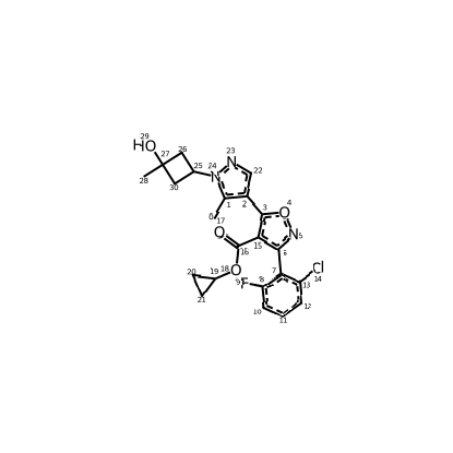 Cc1c(-c2onc(-c3c(F)cccc3Cl)c2C(=O)OC2CC2)cnn1C1CC(C)(O)C1